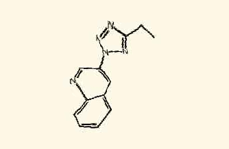 CCc1nnn(-c2cnc3ccccc3c2)n1